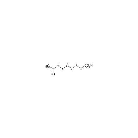 CCC(C)C(=O)OCOCCCC(=O)O